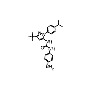 Bc1ccc(NC(=O)Nc2cc(C(C)(C)C)nn2-c2ccc(C(C)C)cc2)cc1